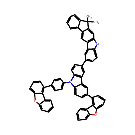 CC1(C)c2ccccc2-c2cc3c(cc21)[nH]c1ccc(-c2ccc4c(c2)c2cc(-c5cccc6oc7ccccc7c56)ccc2n4-c2ccc(-c4cccc5oc6ccccc6c45)cc2)cc13